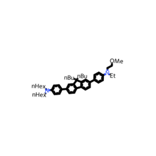 CCCCCCN(CCCCCC)c1ccc(-c2ccc3c(c2)C(CCCC)(CCCC)c2cc(-c4ccc(N(CC)CCOC)cc4)ccc2-3)cc1